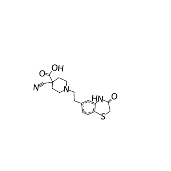 N#CC1(C(=O)O)CCN(CCc2ccc3c(c2)NC(=O)CS3)CC1